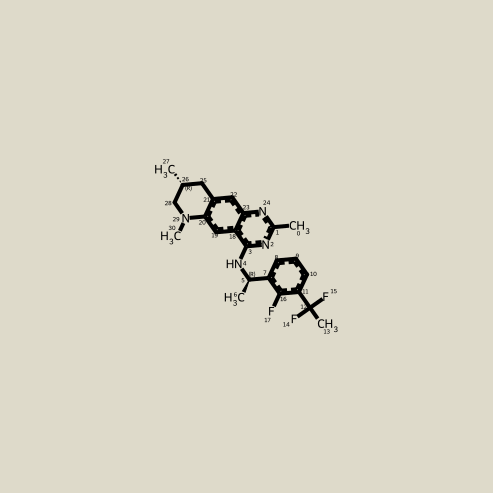 Cc1nc(N[C@H](C)c2cccc(C(C)(F)F)c2F)c2cc3c(cc2n1)C[C@@H](C)CN3C